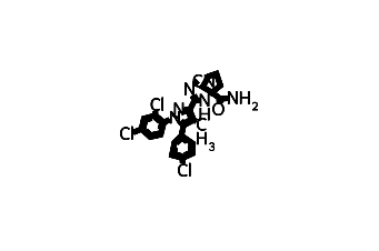 Cc1c(C(=NC#N)NC2(C(N)=O)CCCC2)nn(-c2ccc(Cl)cc2Cl)c1-c1ccc(Cl)cc1